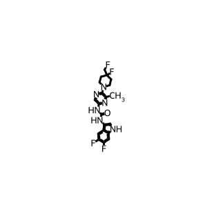 Cc1nc(NC(=O)Nc2c[nH]c3cc(F)c(F)cc23)cnc1N1CCC(F)(CF)CC1